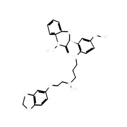 COc1ccc(OCCCN(C)CCOc2ccc3c(c2)OCO3)c([C@@H]2Sc3ccccc3N(C)C2=O)c1